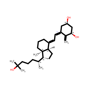 C=C1/C(=C\C=C2CCC[C@@]3(C)[C@@H]2CC[C@@H]3[C@H](C)CCCC(C)(C)O)C[C@@H](O)C[C@H]1O